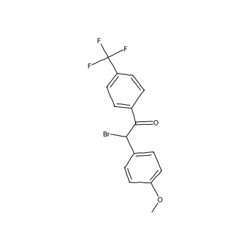 COc1ccc(C(Br)C(=O)c2ccc(C(F)(F)F)cc2)cc1